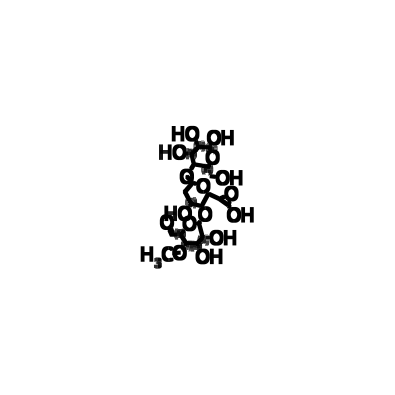 CO[C@H]1[C@H](O)[C@@H](O)C(OC2C(C3OC3O)OC(OC3[C@@H](CO)O[C@H](O)[C@H](O)[C@H]3O)C[C@@H]2O)O[C@@H]1C=O